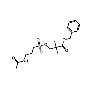 CC(=O)NCCCS(=O)(=O)OCC(C)(C)C(=O)OCc1ccccc1